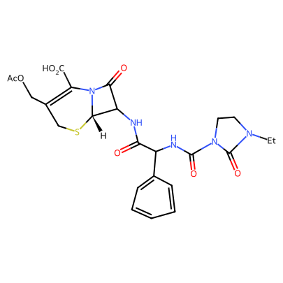 CCN1CCN(C(=O)NC(C(=O)NC2C(=O)N3C(C(=O)O)=C(COC(C)=O)CS[C@@H]23)c2ccccc2)C1=O